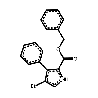 CCc1c[nH]c(C(=O)OCc2ccccc2)c1-c1ccccc1